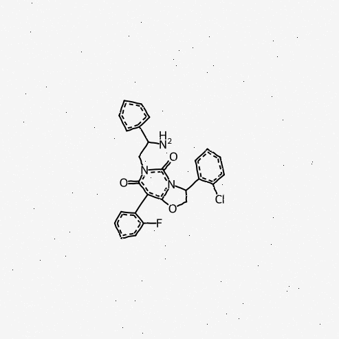 NC(Cn1c(=O)c(-c2ccccc2F)c2n(c1=O)C(c1ccccc1Cl)CO2)c1ccccc1